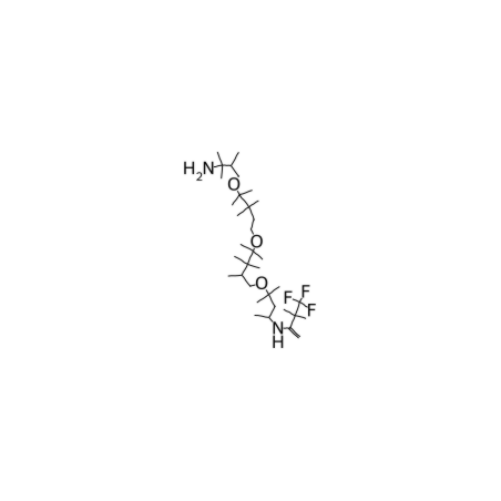 C=C(NC(C)CC(C)(C)OCC(C)C(C)(C)C(C)(C)OCCC(C)(C)C(C)(C)OCC(C)C(C)(C)N)C(C)(C)C(F)(F)F